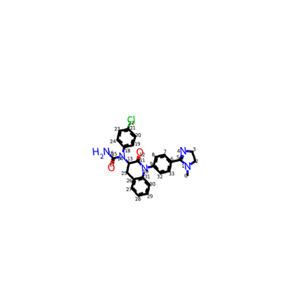 CN1CCN=C1c1ccc(N2C(=O)C(N(C(N)=O)c3ccc(Cl)cc3)Cc3ccccc32)cc1